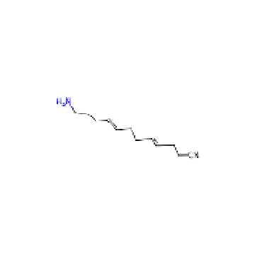 N#CCCC=CCCC=CCCCN